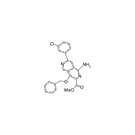 COC(=O)c1nc(N)c2cc(-c3cccc(Cl)c3)ncc2c1OCc1ccccc1